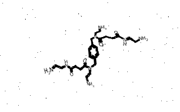 NCCNC(=O)CCC(=O)N(CCN)Cc1ccc(CN(CCN)C(=O)CCC(=O)NCCN)cc1